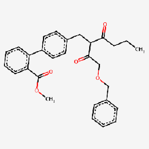 CCCC(=O)C(Cc1ccc(-c2ccccc2C(=O)OC)cc1)C(=O)COCc1ccccc1